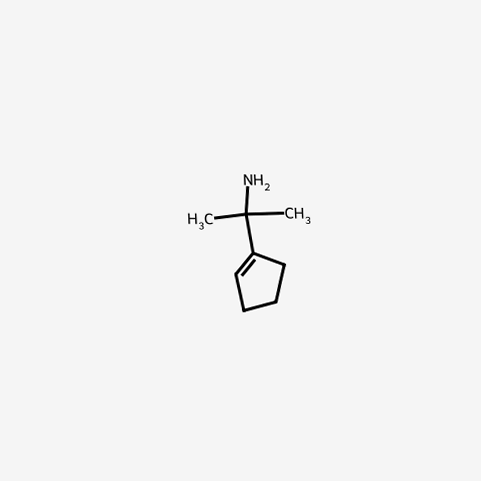 CC(C)(N)C1=CCCC1